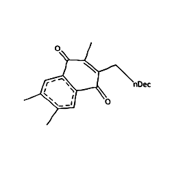 CCCCCCCCCCCC1=C(C)C(=O)c2cc(C)c(C)cc2C1=O